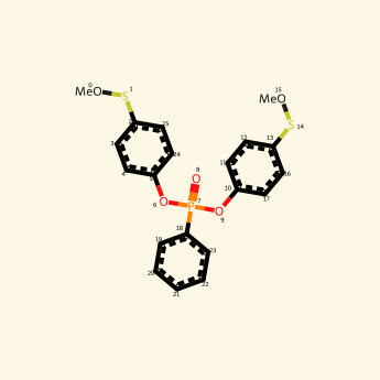 COSc1ccc(OP(=O)(Oc2ccc(SOC)cc2)c2ccccc2)cc1